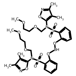 COCCOCN(c1onc(C)c1C)S(=O)(=O)c1ccccc1OBOc1ccccc1S(=O)(=O)N(COCCOC)c1onc(C)c1C